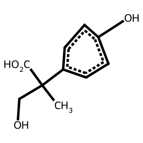 CC(CO)(C(=O)O)c1ccc(O)cc1